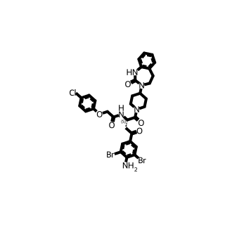 Nc1c(Br)cc(C(=O)C[C@H](NC(=O)COc2ccc(Cl)cc2)C(=O)N2CCC(N3CCc4ccccc4NC3=O)CC2)cc1Br